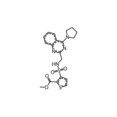 COC(=O)c1sccc1S(=O)(=O)NCc1nc(N2CCCC2)c2ccccc2n1